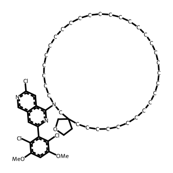 COc1cc(OC)c(Cl)c(-c2cc3cnc(Cl)cc3c(N3CCCCCCCCCCCCCCCCCCCCCCCCCCCCCCCCC4(CCOC4)C3)n2)c1Cl